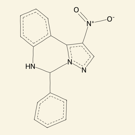 O=[N+]([O-])c1cnn2c1-c1ccccc1NC2c1ccccc1